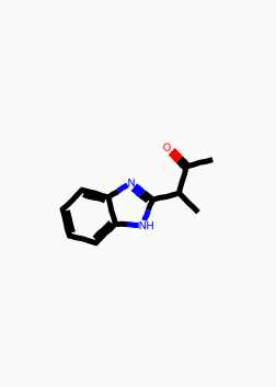 CC(=O)C(C)c1nc2ccccc2[nH]1